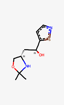 CC1(C)N[C@@H](C[C@H](O)c2ccns2)CO1